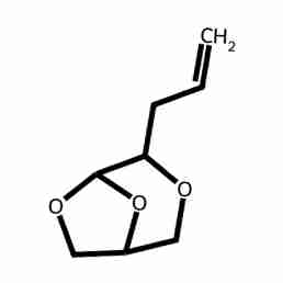 C=CCC1OCC2COC1O2